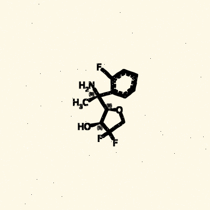 C[C@@](N)(c1ccccc1F)[C@H]1OCC(F)(F)[C@H]1O